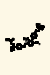 Cc1ccc(COc2ccc(C3(OCC(=O)O)COC3)cc2)c(C)c1-c1ccc(OCC2(CO)COC2)cc1